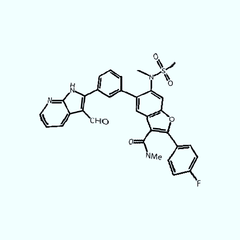 CNC(=O)c1c(-c2ccc(F)cc2)oc2cc(N(C)S(C)(=O)=O)c(-c3cccc(-c4[nH]c5ncccc5c4C=O)c3)cc12